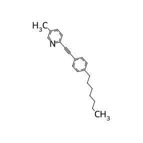 CCCCCCCc1ccc(C#Cc2ccc(C)cn2)cc1